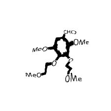 COCCOc1c(OC)cc(C=O)c(OC)c1OCCOC